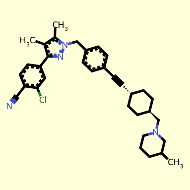 Cc1c(-c2ccc(C#N)c(Cl)c2)nn(Cc2ccc(C#C[C@H]3CC[C@H](CN4CCCC(C)C4)CC3)cc2)c1C